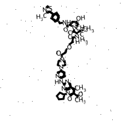 CC(=O)c1c(C)c2cnc(Nc3ccc(N4CCN(C(=O)CCOCCC(=O)NC(C(=O)N5C[C@H](O)C[C@H]5C(=O)NCc5ccc(-c6scnc6C)cc5)C(C)(C)C)CC4)cn3)nc2n(C2CCCC2)c1=O